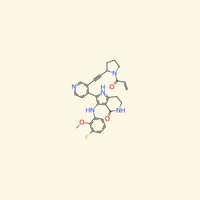 C=CC(=O)N1CCCC1C#Cc1cnccc1-c1[nH]c2c(c1Nc1cccc(F)c1OC)C(=O)NCC2